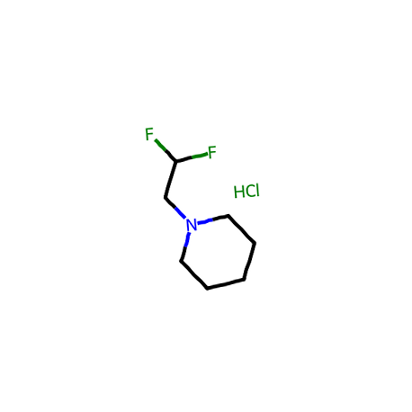 Cl.FC(F)CN1CCCCC1